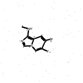 CNc1ncn2cc(F)c(Br)cc12